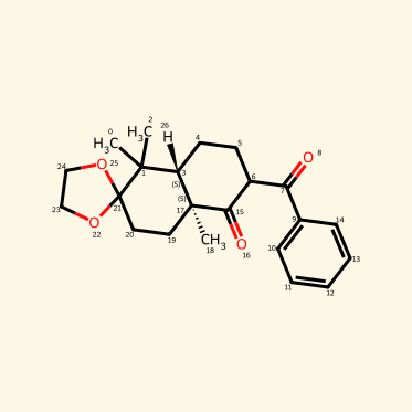 CC1(C)[C@@H]2CCC(C(=O)c3ccccc3)C(=O)[C@@]2(C)CCC12OCCO2